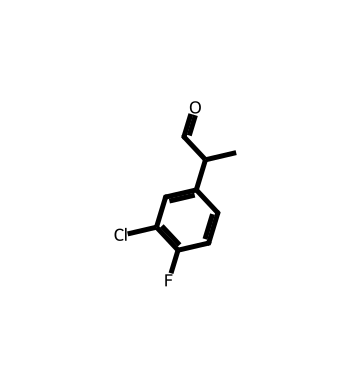 CC(C=O)c1ccc(F)c(Cl)c1